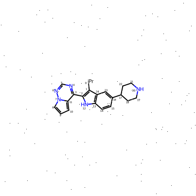 CC(C)c1c(-c2ncnn3cccc23)[nH]c2ccc(C3CCNCC3)cc12